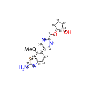 COc1c(-c2cnc(COC3CCC[C@@H]3O)nc2)ccc2nc(N)sc12